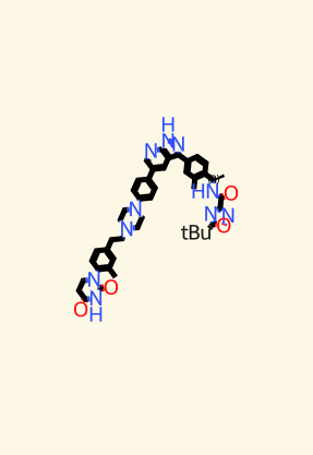 Cc1cc(-c2n[nH]c3ncc(-c4ccc(N5CCN(CCc6ccc(N7CCC(=O)NC7=O)c(C)c6)CC5)cc4)cc23)ccc1[C@@H](C)NC(=O)c1noc(C(C)(C)C)n1